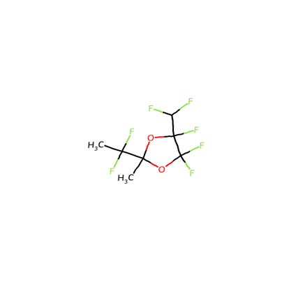 CC(F)(F)C1(C)OC(F)(F)C(F)(C(F)F)O1